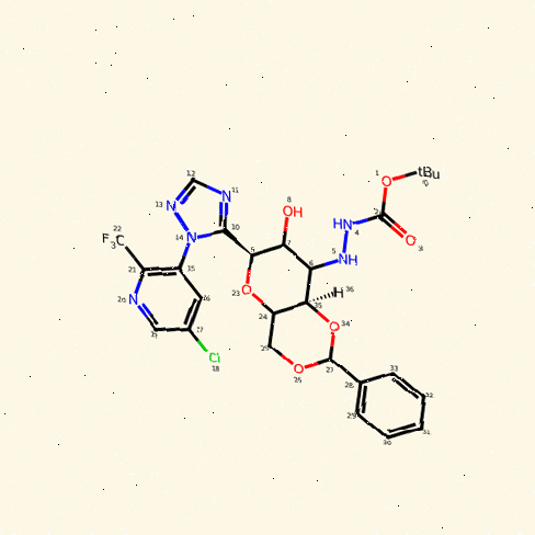 CC(C)(C)OC(=O)NNC1C(O)[C@H](c2ncnn2-c2cc(Cl)cnc2C(F)(F)F)OC2COC(c3ccccc3)O[C@@H]21